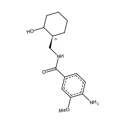 COc1cc(C(=O)NC[C@@H]2CCCCC2O)ccc1N